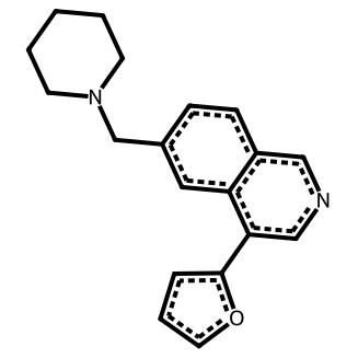 c1coc(-c2cncc3ccc(CN4CCCCC4)cc23)c1